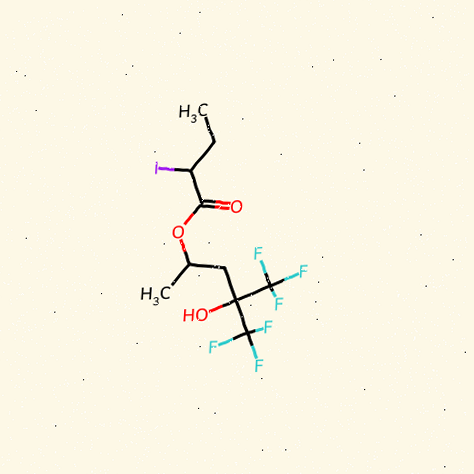 CCC(I)C(=O)OC(C)CC(O)(C(F)(F)F)C(F)(F)F